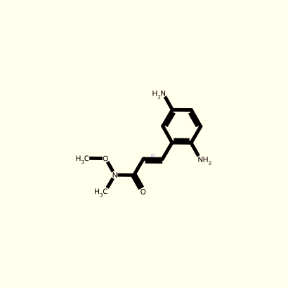 CON(C)C(=O)/C=C/c1cc(N)ccc1N